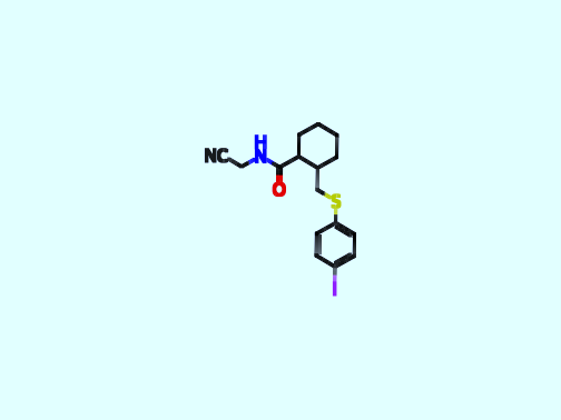 N#CCNC(=O)C1CCCCC1CSc1ccc(I)cc1